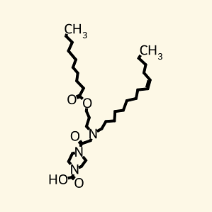 CCCC/C=C\CCCCCCCCN(CCCOC(=O)CCCCCCCCC)CC(=O)N1CCN(C(=O)O)CC1